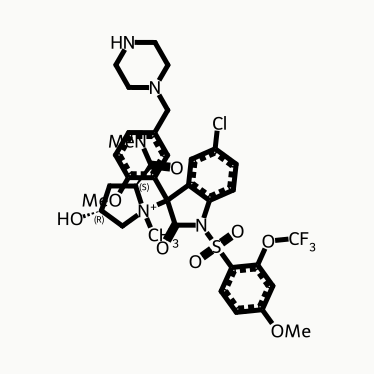 CNC(=O)[C@@H]1C[C@@H](O)C[N+]1(C)C1(c2cc(CN3CCNCC3)ccc2OC)C(=O)N(S(=O)(=O)c2ccc(OC)cc2OC(F)(F)F)c2ccc(Cl)cc21